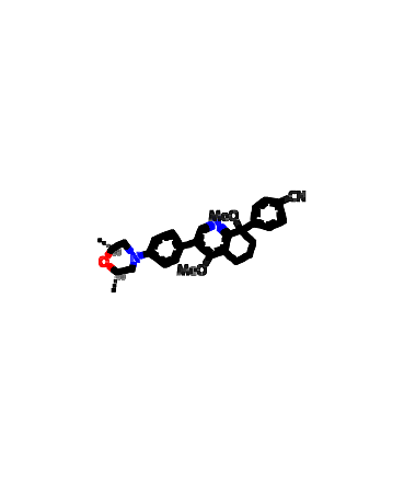 COc1c(-c2ccc(N3C[C@@H](C)O[C@@H](C)C3)cc2)cnc2c1CCCC2(OC)c1ccc(C#N)cc1